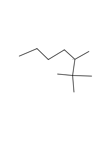 CCCC[C](C)C(C)(C)C